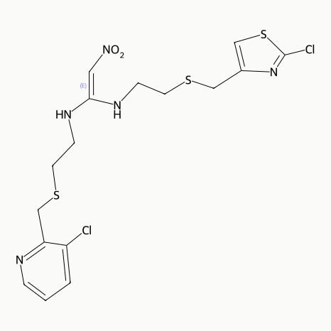 O=[N+]([O-])/C=C(\NCCSCc1csc(Cl)n1)NCCSCc1ncccc1Cl